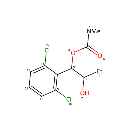 CCC(O)C(OC(=O)NC)c1c(Cl)cccc1Cl